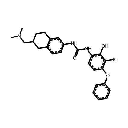 CN(C)CC1CCc2cc(NC(=O)Nc3ccc(Oc4ccccc4)c(Br)c3O)ccc2C1